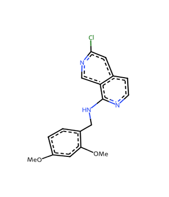 COc1ccc(CNc2nccc3cc(Cl)ncc23)c(OC)c1